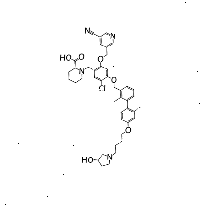 Cc1cc(OCCCCN2CC[C@@H](O)C2)ccc1-c1cccc(COc2cc(OCc3cncc(C#N)c3)c(CN3CCCC[C@H]3C(=O)O)cc2Cl)c1C